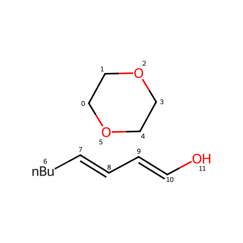 C1COCCO1.CCCCC=CC=CO